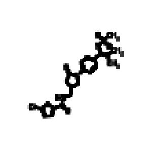 CN(C)C(=NS(C)(=O)=O)c1ccc(N2CC(CNC(=O)c3ccc(Cl)s3)CC2=O)cc1